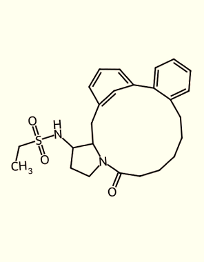 CCS(=O)(=O)NC1CCN2C(=O)CCCCCc3ccccc3-c3cccc(c3)CC12